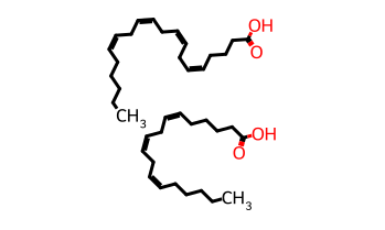 CCCCC/C=C\C/C=C\C/C=C\C/C=C\CCCC(=O)O.CCCCC/C=C\C/C=C\C/C=C\CCCCC(=O)O